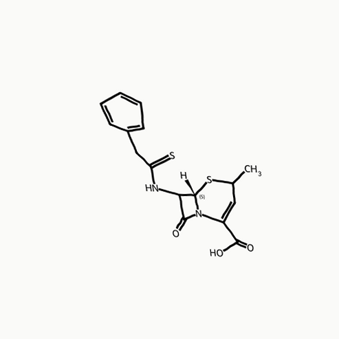 CC1C=C(C(=O)O)N2C(=O)C(NC(=S)Cc3ccccc3)[C@@H]2S1